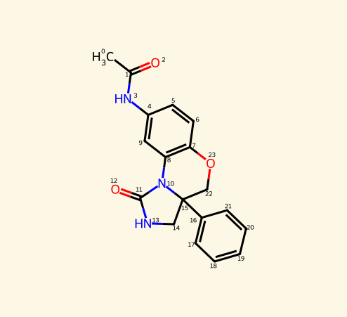 CC(=O)Nc1ccc2c(c1)N1C(=O)NCC1(c1ccccc1)CO2